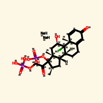 C[C@H]1C[C@H]2[C@@H]3CCC4=CC(=O)C=C[C@]4(C)[C@@]3(F)[C@@H](O)C[C@]2(C)[C@@]1(OP(=O)(O)O)C(=O)COP(=O)(O)O.[NaH].[NaH]